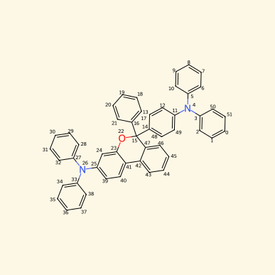 c1ccc(N(c2ccccc2)c2ccc(C3(c4ccccc4)Oc4cc(N(c5ccccc5)c5ccccc5)ccc4-c4ccccc43)cc2)cc1